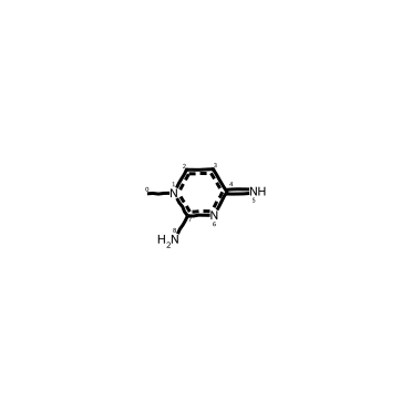 Cn1ccc(=N)nc1N